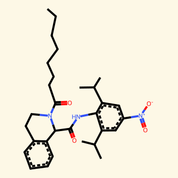 CCCCCCCC(=O)N1CCc2ccccc2C1C(=O)Nc1c(C(C)C)cc([N+](=O)[O-])cc1C(C)C